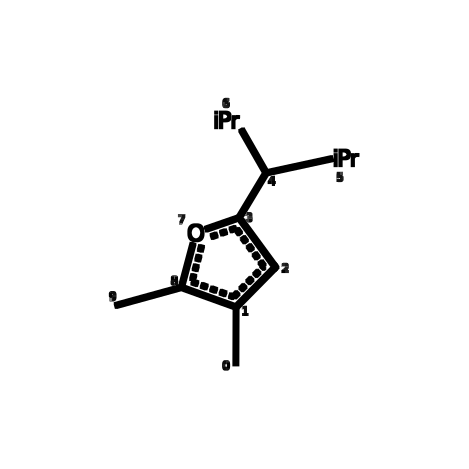 Cc1cc(C(C(C)C)C(C)C)oc1C